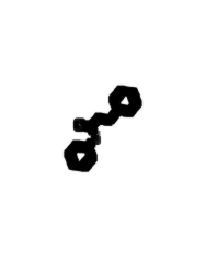 O=C(/C=C/c1ccccc1)Sc1ccccc1